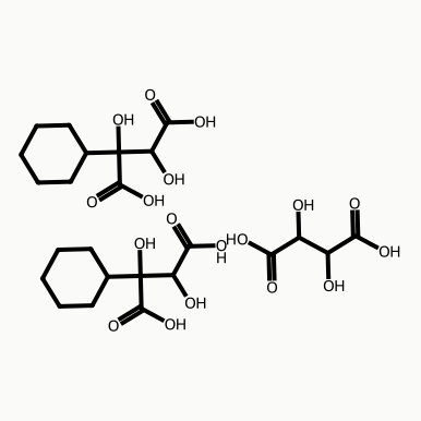 O=C(O)C(O)C(O)(C(=O)O)C1CCCCC1.O=C(O)C(O)C(O)(C(=O)O)C1CCCCC1.O=C(O)C(O)C(O)C(=O)O